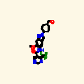 COc1cc2nn(C3CCC(C=O)CC3)cc2cc1NC(=O)c1cncnc1C(F)(F)F